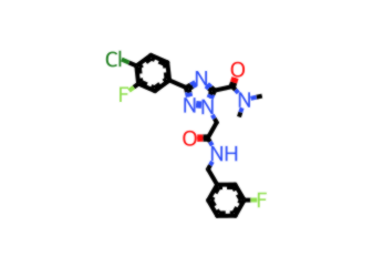 CN(C)C(=O)c1nc(-c2ccc(Cl)c(F)c2)nn1CC(=O)NCc1cccc(F)c1